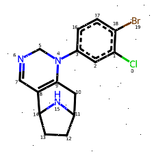 Clc1cc(N2CN=CC3=C2CC2CCC3N2)ccc1Br